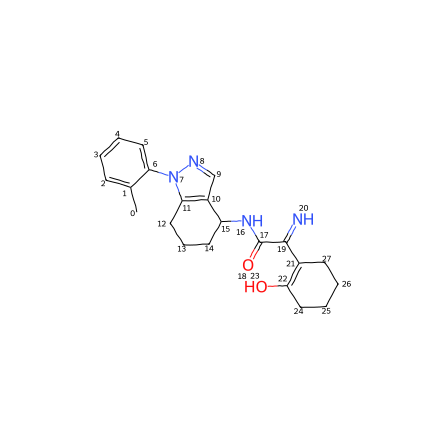 Cc1ccccc1-n1ncc2c1CCCC2NC(=O)C(=N)C1=C(O)CCCC1